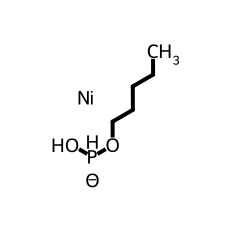 CCCCCO[PH](=O)O.[Ni]